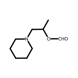 CC(CN1CCCCC1)OC=O